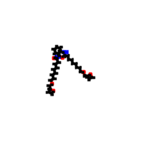 O=C(CCCCCCCCOCC1CCO1)N[C@H]1CCCC[C@@H]1NC(=O)CCCCCCCCOCC1CCO1